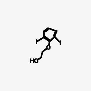 OCCOc1c(I)cccc1I